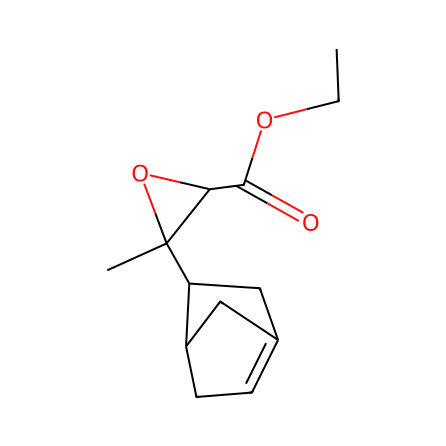 CCOC(=O)C1OC1(C)C1CC2=CCC1C2